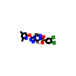 CCn1c(Oc2cc(C)cc(C)n2)nnc1[C@@H](C)NS(=O)(=O)c1ccc(Cl)c(Cl)c1